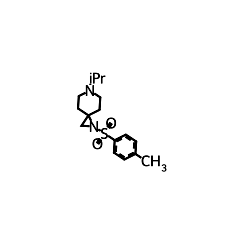 Cc1ccc(S(=O)(=O)N2CC23CCN(C(C)C)CC3)cc1